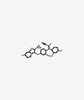 CC(C#N)=C1c2ccc(Cc3c(C4CC4)nc4cc(F)ccn34)cc2COc2cc(F)ccc21